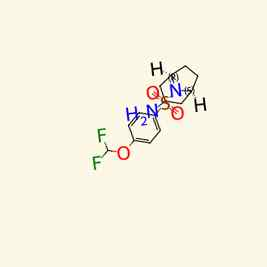 NC1C[C@H]2CC[C@@H](C1)N2S(=O)(=O)c1ccc(OC(F)F)cc1